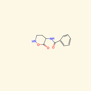 O=C(NC1CCNOC1=O)c1ccccc1